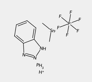 F[P-](F)(F)(F)(F)F.P.[CH3][Sn][CH3].[H+].c1ccc2[nH]nnc2c1